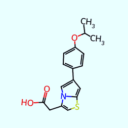 CC(C)Oc1ccc(-c2cc3scc(CC(=O)O)n3c2)cc1